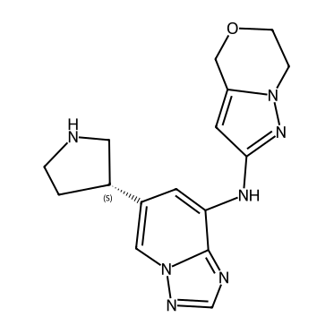 c1nc2c(Nc3cc4n(n3)CCOC4)cc([C@@H]3CCNC3)cn2n1